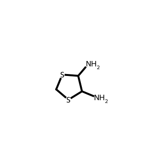 NC1SCSC1N